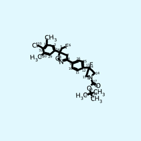 Cc1cc(C2(CF)CC(c3ccc(C4(F)CN(C(=O)OC(C)(C)C)C4)cc3)=NO2)cc(C)c1Cl